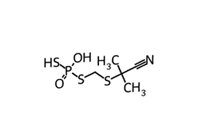 CC(C)(C#N)SCSP(=O)(O)S